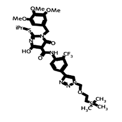 COc1cc(Cn2c(SC(C)C)nc(O)c(C(=O)Nc3ccc(-c4cn(COCC[Si](C)(C)C)nn4)cc3C(F)(F)F)c2=O)cc(OC)c1OC